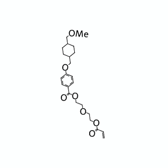 C=CC(=O)OCCOCCOC(=O)c1ccc(OCC2CCC(COC)CC2)cc1